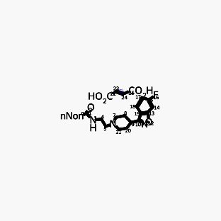 CCCCCCCCCC(=O)NCCN1CCC(c2noc3cc(F)ccc23)CC1.O=C(O)/C=C/C(=O)O